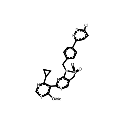 COc1ncnc(C2CC2)c1-c1ncc2c(n1)N(Cc1ccc(-c3ccc(Cl)nn3)cc1)S(=O)(=O)C2